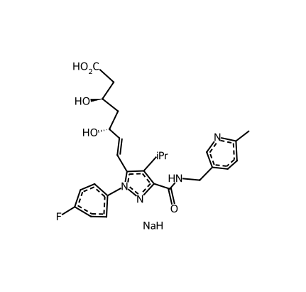 Cc1ccc(CNC(=O)c2nn(-c3ccc(F)cc3)c(/C=C/[C@H](O)C[C@@H](O)CC(=O)O)c2C(C)C)cn1.[NaH]